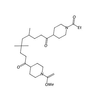 C=C(OC)N1CCC(C(=O)CCC(C)(C)CC(C)CCC(=O)C2CCN(C(=O)CC)CC2)CC1